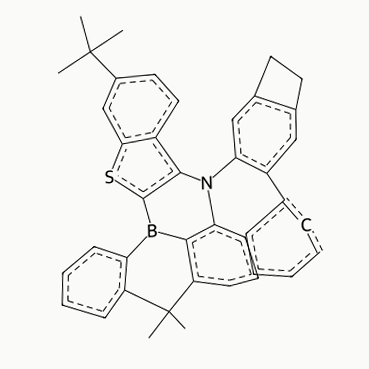 CC(C)(C)c1ccc2c3c(sc2c1)B1c2ccccc2C(C)(C)c2cccc(c21)N3c1cc2c(cc1-c1ccccc1)CC2